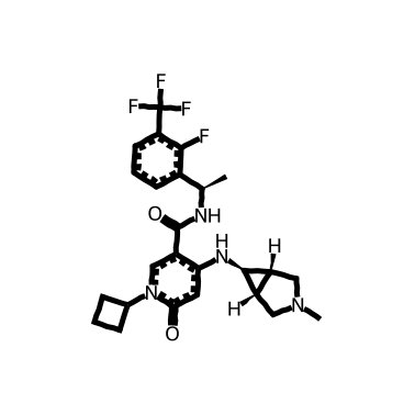 C[C@@H](NC(=O)c1cn(C2CCC2)c(=O)cc1N[C@H]1[C@@H]2CN(C)C[C@@H]21)c1cccc(C(F)(F)F)c1F